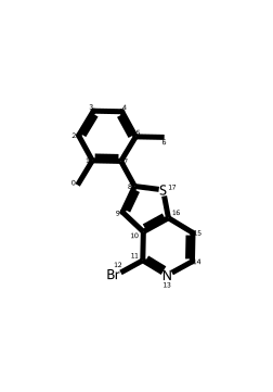 Cc1cccc(C)c1-c1cc2c(Br)nccc2s1